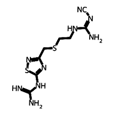 N#C/N=C(/N)NCCSCc1nsc(NC(=N)N)n1